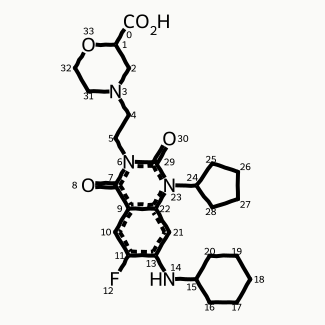 O=C(O)C1CN(CCn2c(=O)c3cc(F)c(NC4CCCCC4)cc3n(C3CCCC3)c2=O)CCO1